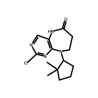 CC1(C)CCCC1N1CCC(=O)Nc2cnc(Cl)nc21